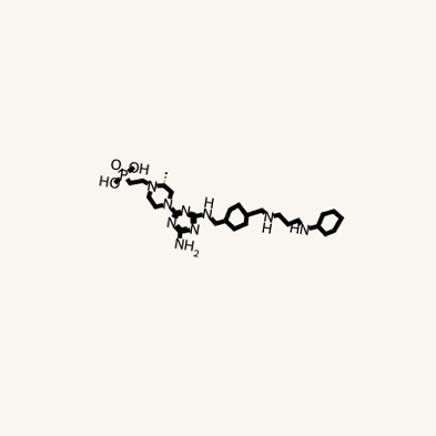 C[C@@H]1CN(c2nc(N)nc(NCC3CCC(CNCCCNC4CCCCC4)CC3)n2)CCN1CCP(=O)(O)O